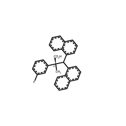 C[C@](C(=O)O)(c1cccc(F)c1)C(c1cccc2ccccc12)c1cccc2ccccc12